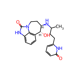 CC(CCc1cccc(=O)[nH]1)N[C@@H]1CCn2c(=O)[nH]c3cccc(c32)[C@H]1O